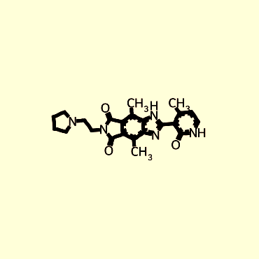 Cc1cc[nH]c(=O)c1-c1nc2c(C)c3c(c(C)c2[nH]1)C(=O)N(CCN1CCCC1)C3=O